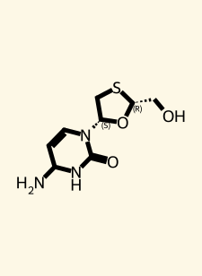 NC1C=CN([C@@H]2CS[C@H](CO)O2)C(=O)N1